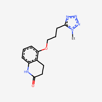 CCn1nnnc1CCCOc1cccc2c1CCC(=O)N2